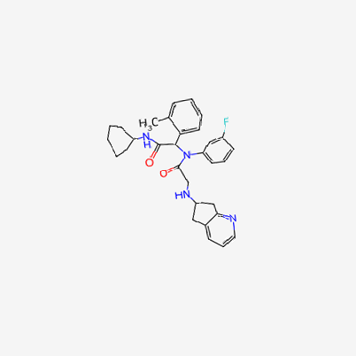 Cc1ccccc1C(C(=O)NC1CCCCC1)N(C(=O)CNC1Cc2cccnc2C1)c1cccc(F)c1